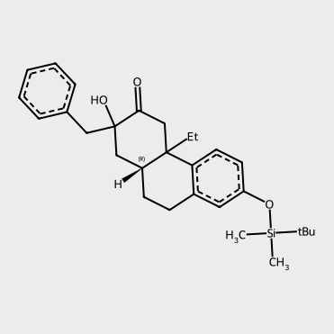 CCC12CC(=O)C(O)(Cc3ccccc3)C[C@H]1CCc1cc(O[Si](C)(C)C(C)(C)C)ccc12